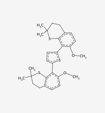 COc1ccc2c(c1-c1ccc(-c3c(OC)ccc4c3SC(C)(C)CC4)s1)SC(C)(C)CC2